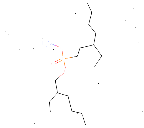 CCCCC(CC)CCP(=O)(ON)OCC(CC)CCCC